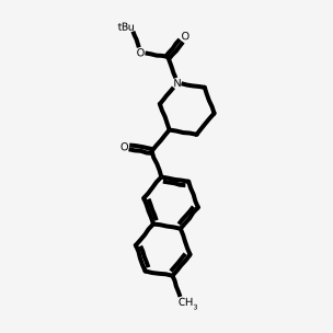 Cc1ccc2cc(C(=O)C3CCCN(C(=O)OC(C)(C)C)C3)ccc2c1